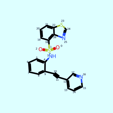 O=S(=O)(Nc1ccccc1C#Cc1cccnc1)c1cccc2scnc12